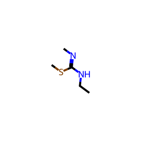 CCNC(=NC)SC